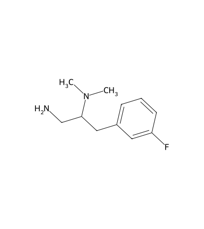 CN(C)C(CN)Cc1cccc(F)c1